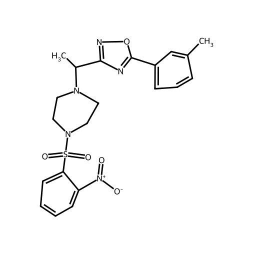 Cc1cccc(-c2nc(C(C)N3CCN(S(=O)(=O)c4ccccc4[N+](=O)[O-])CC3)no2)c1